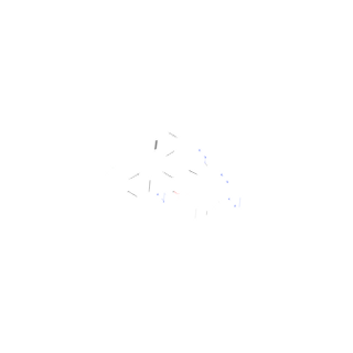 CC1CN(Cc2cc(-c3c(-c4ccccc4)c4cc(Cl)ccc4[nH]c3=O)on2)CCN1